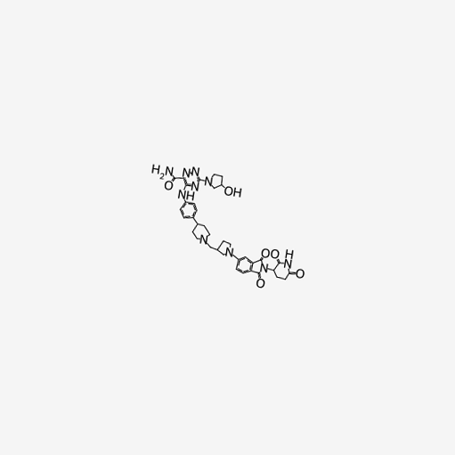 NC(=O)c1nnc(N2CCC(O)C2)nc1Nc1ccc(C2CCN(CC3CCN(c4ccc5c(c4)C(=O)N(C4CCC(=O)NC4=O)C5=O)C3)CC2)cc1